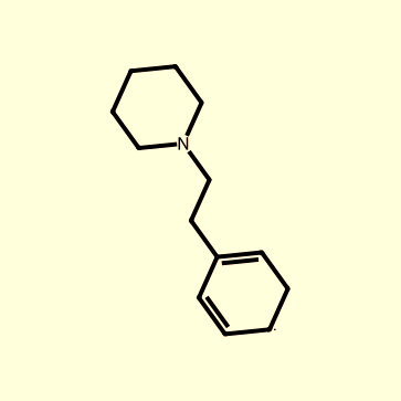 [CH]1C=CC(CCN2CCCCC2)=CC1